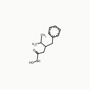 CC(C)C(CC(=O)NO)Cc1ccccc1